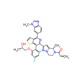 C=CC(=O)N1CCn2nc(-c3nc(-c4ccc5ncn(C)c5c4)c4ccsc4c3-c3c(F)cc(F)cc3OC[C@@H](C)O)cc2[C@H]1C